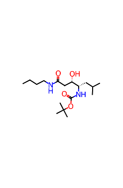 CCCCNC(=O)C[C@H](O)[C@H](CC(C)C)NC(=O)OC(C)(C)C